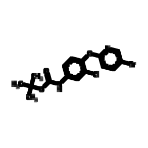 CC(C)(C)OC(=O)Nc1ccc(Oc2ccc(Br)cn2)c(Cl)c1